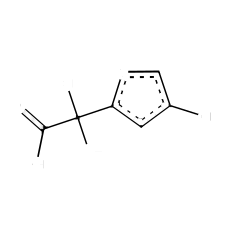 Cc1csc(C(C)(C)C(=O)O)c1